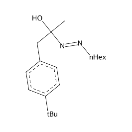 CCCCCC/N=N/C(C)(O)Cc1ccc(C(C)(C)C)cc1